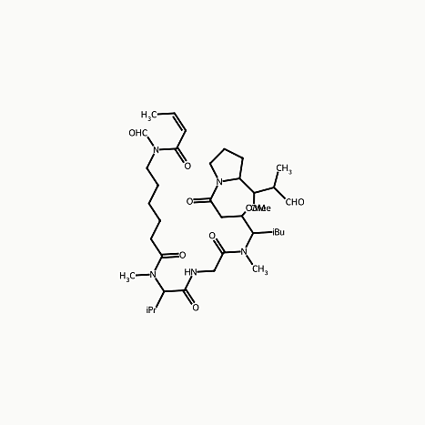 C/C=C\C(=O)N(C=O)CCCCCC(=O)N(C)C(C(=O)NCC(=O)N(C)C(C(C)CC)C(CC(=O)N1CCCC1C(OC)C(C)C=O)OC)C(C)C